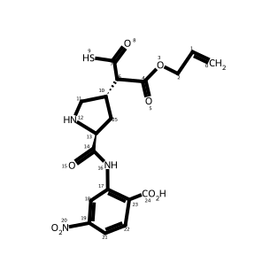 C=CCOC(=O)C(C(=O)S)[C@H]1CN[C@H](C(=O)Nc2cc([N+](=O)[O-])ccc2C(=O)O)C1